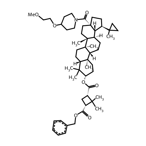 COCCOC1CCN(C(=O)[C@]23CC[C@@H](C4(C)CC4)[C@@H]2[C@H]2CC[C@@H]4[C@@]5(C)CC[C@H](OC(=O)[C@H]6C[C@@H](C(=O)OCc7ccccc7)C6(C)C)C(C)(C)[C@@H]5CC[C@@]4(C)[C@]2(C)CC3)CC1